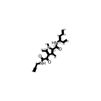 C#CCNC(=O)C(=O)c1c(C)c(C(=O)N/C(C=C)=C/C=C)n(C)c1C